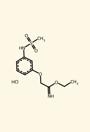 CCOC(=N)COc1cccc(NS(C)(=O)=O)c1.Cl